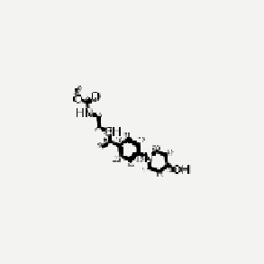 COC(=O)NCCBC(C)c1ccc(N2CCC(O)CC2)cc1